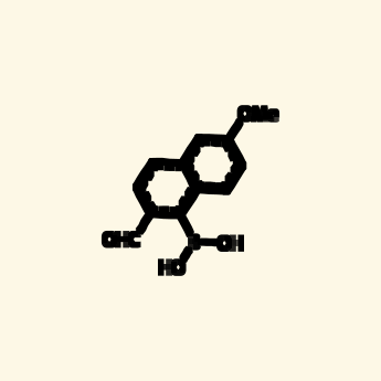 COc1ccc2c(B(O)O)c(C=O)ccc2c1